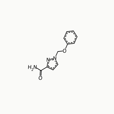 NC(=O)c1ccn(COc2ccccc2)n1